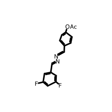 CC(=O)Oc1ccc(/C=N/N=C/c2cc(F)cc(F)c2)cc1